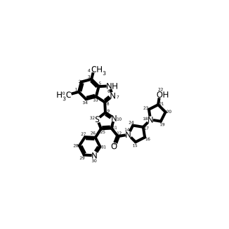 Cc1cc(C)c2[nH]nc(-c3nc(C(=O)N4CCC(N5CCC(O)C5)C4)c(-c4cccnc4)s3)c2c1